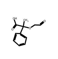 CC(OCC=O)(C(=O)O)c1ccccc1